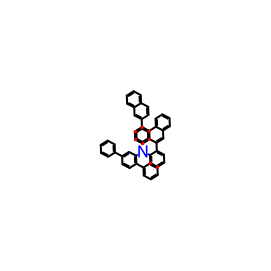 c1ccc(-c2ccc(-c3ccccc3)c(N(c3ccc(-c4ccc5ccccc5c4)cc3)c3ccccc3-c3cc4ccccc4c4ccccc34)c2)cc1